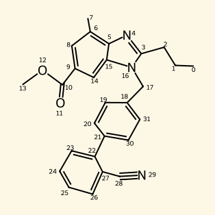 CCCc1nc2c(C)cc(C(=O)OC)cc2n1Cc1ccc(-c2ccccc2C#N)cc1